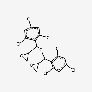 Clc1cc(Cl)c(C(OC(c2c(Cl)cc(Cl)cc2Cl)C2CO2)C2CO2)c(Cl)c1